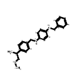 COCC(C)c1ccc(CNc2ccc(OCc3ccccc3)cc2)cc1